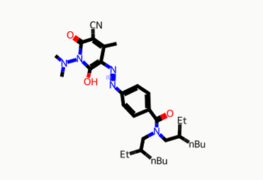 CCCCC(CC)CN(CC(CC)CCCC)C(=O)c1ccc(/N=N/c2c(C)c(C#N)c(=O)n(N(C)C)c2O)cc1